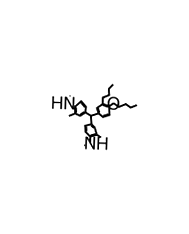 CCCCOc1ccc(C(c2ccc(NC)c(C)c2)c2ccc(NC)c(C)c2)cc1CCCC